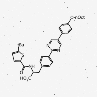 CCCCCCCCOc1ccc(-c2cnc(-c3ccc(CC(NC(=O)c4ccc(C(C)(C)C)s4)C(=O)O)cc3)nc2)cc1